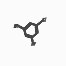 CC(C)c1cc(Cl)cc(Br)c1